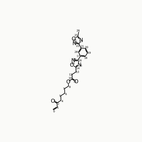 C=CC(=O)CCCCCOC(=O)CCc1nc(-c2cccc(-c3noc(C)n3)c2)no1